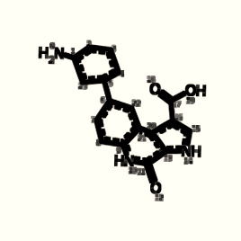 Nc1cccc(-c2ccc3[nH]c(=O)c4[nH]cc(C(=O)O)c4c3c2)c1